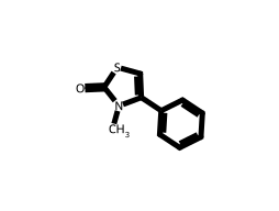 Cn1c(-c2ccccc2)csc1=O